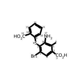 Cc1c(C(=O)O)cc(Br)c(Sc2ccccc2C(=O)O)c1N